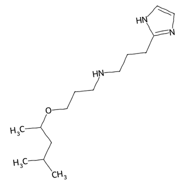 CC(C)CC(C)OCCCNCCCc1ncc[nH]1